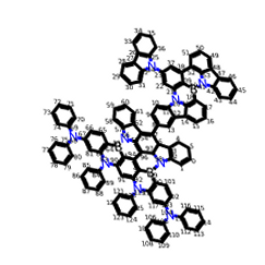 C1=CC2=C(CC1)C1C(c3ccc4c(c3)c3cccc5c3n4-c3cc(-n4c6c(c7ccccc74)C=CCC6)cc4c3B5n3c5ccccc5c5cccc-4c53)=c3c4n(c5ccccc35)B3c5ccc(N(c6ccccc6)c6ccccc6)cc5N(c5ccccc5)c5cc6c7c(c53)C=4C1N2B7c1ccc(N(c2ccccc2)c2ccccc2)cc1N6c1ccccc1